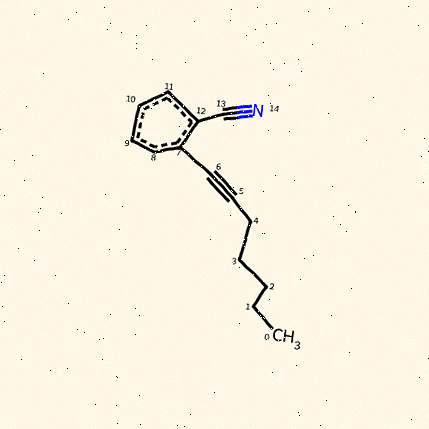 CCCCCC#Cc1ccccc1C#N